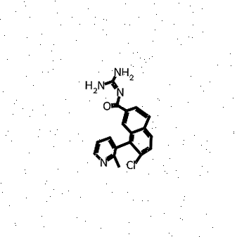 Cc1ncccc1-c1c(Cl)ccc2ccc(C(=O)N=C(N)N)cc12